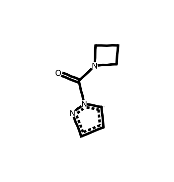 O=C(N1CCC1)n1[c]ccn1